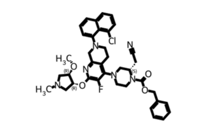 CO[C@@H]1CN(C)C[C@H]1Oc1nc2c(c(N3CCN(C(=O)OCc4ccccc4)[C@@H](CC#N)C3)c1F)CCN(c1cccc3cccc(Cl)c13)C2